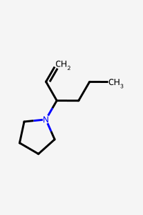 C=CC(CCC)N1CCCC1